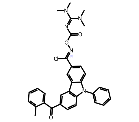 Cc1ccccc1C(=O)c1ccc2c(c1)c1cc(/C(Cl)=N/OC(=O)N=C(N(C)C)N(C)C)ccc1n2-c1ccccc1